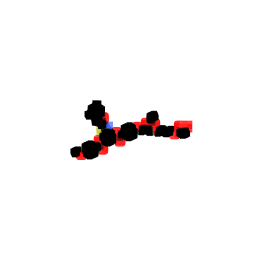 C=CC(=O)OC(COCCCCOC(O)C=C)COc1ccc(C(=O)Oc2ccc(OC(=O)c3ccc(OCC)cc3)c3sc(C4Cc5c(C)cc(C)cc5O4)nc23)cc1